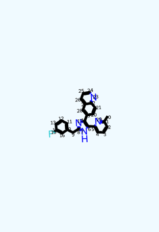 Cc1cccc(-c2[nH]c(Cc3cccc(F)c3)nc2-c2ccc3ncccc3c2)n1